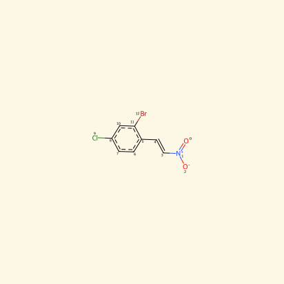 O=[N+]([O-])C=Cc1ccc(Cl)cc1Br